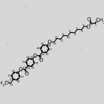 C=CC(=O)OCCCCCCCCCCOc1ccc(C(=O)Oc2ccc(C(=O)Oc3ccc(CC)cc3)cc2)cc1